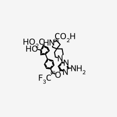 Nc1nc(O[C@H](c2ccc(-c3ccc(C(=O)O)c(O)c3)cc2)C(F)(F)F)cc(N2CCC3(CC2)CN[C@H](C(=O)O)C3)n1